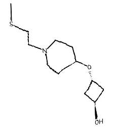 CSCCN1CCC(O[C@H]2C[C@H](O)C2)CC1